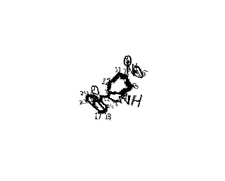 O=C(C1CNc2cc([N+](=O)[O-])ccc21)C12CC3CC(CC(C3)C1)C2